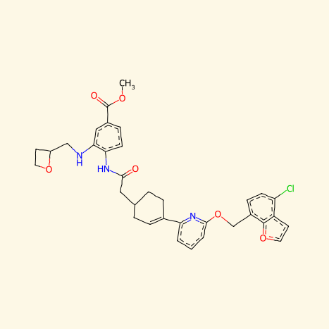 COC(=O)c1ccc(NC(=O)CC2CC=C(c3cccc(OCc4ccc(Cl)c5ccoc45)n3)CC2)c(NCC2CCO2)c1